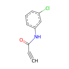 C#CC(=O)Nc1cccc(Cl)c1